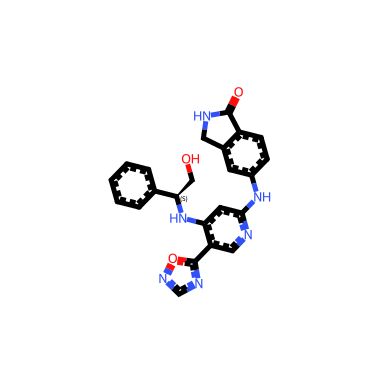 O=C1NCc2cc(Nc3cc(N[C@H](CO)c4ccccc4)c(-c4ncno4)cn3)ccc21